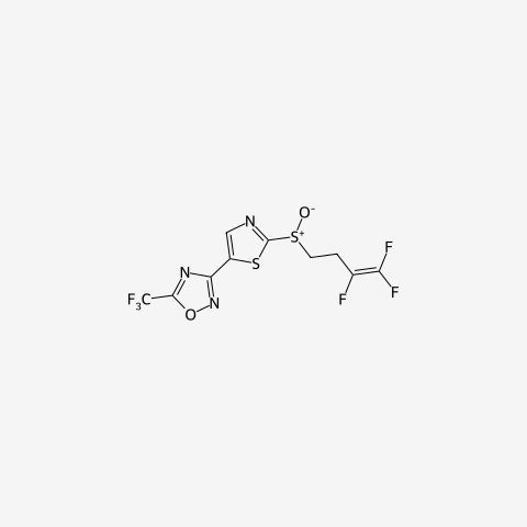 [O-][S+](CCC(F)=C(F)F)c1ncc(-c2noc(C(F)(F)F)n2)s1